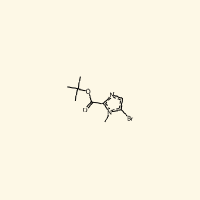 Cn1c(Br)cnc1C(=O)OC(C)(C)C